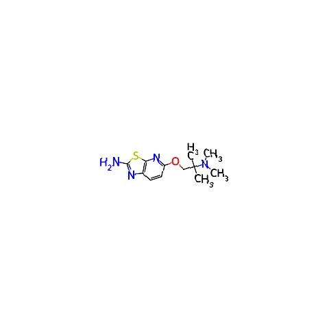 CN(C)C(C)(C)COc1ccc2nc(N)sc2n1